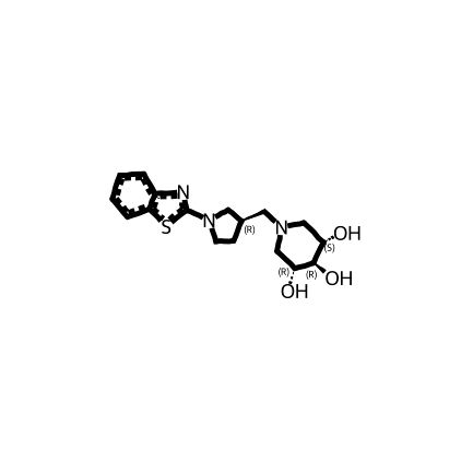 O[C@H]1[C@H](O)CN(C[C@H]2CCN(c3nc4ccccc4s3)C2)C[C@@H]1O